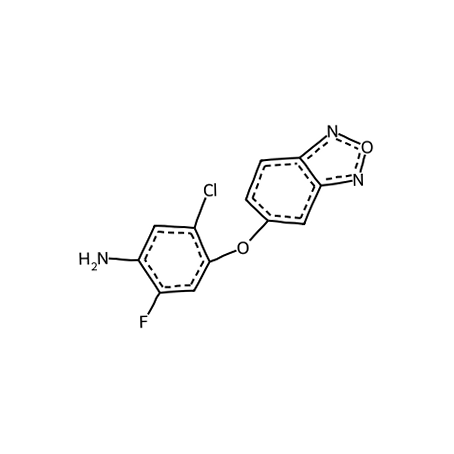 Nc1cc(Cl)c(Oc2ccc3nonc3c2)cc1F